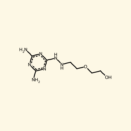 Nc1nc(N)nc(NNCCOCCO)n1